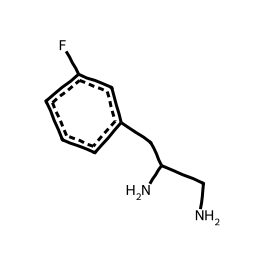 NCC(N)Cc1cccc(F)c1